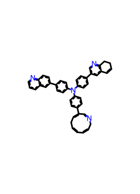 C1=Cc2cc(-c3ccc(N(c4ccc(C5=C/C/C=C\C=C/C/N=C\5)cc4)c4ccc(-c5ccc6ncccc6c5)cc4)cc3)cnc2CC1